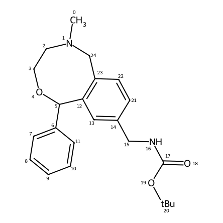 CN1CCOC(c2ccccc2)c2cc(CNC(=O)OC(C)(C)C)ccc2C1